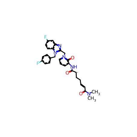 CN(C)C(=O)/C=C/CC[CH]C(=O)Nc1cccn(Cc2nc3cc(F)ccc3n2Cc2ccc(F)cc2)c1=O